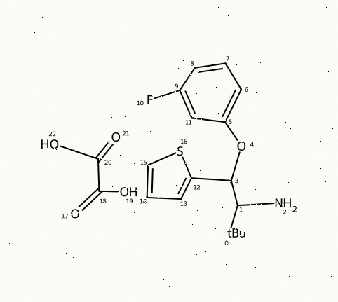 CC(C)(C)C(N)C(Oc1cccc(F)c1)c1cccs1.O=C(O)C(=O)O